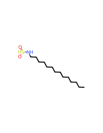 CCCCCCCCCCCCCCN[SH](=O)=O